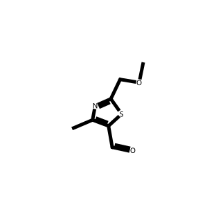 COCc1nc(C)c(C=O)s1